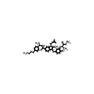 CCCCc1ccc([C@H](C)NC(=O)c2ccc3c(Cc4ccc(Cl)c(O[C@@H](C)C(=O)OC)c4)c(C)n(CC4CC4)c3c2)cc1